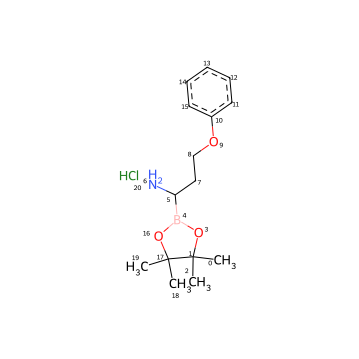 CC1(C)OB(C(N)CCOc2ccccc2)OC1(C)C.Cl